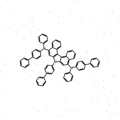 c1ccc(-c2ccc(N(c3ccccc3)c3cc4c(c5ccccc35)c3c5ccccc5c(N(c5ccccc5)c5ccc(-c6ccccc6)cc5)cc3n4-c3ccc(-c4ccccc4)cc3)cc2)cc1